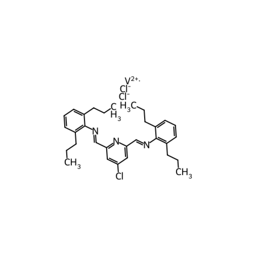 CCCc1cccc(CCC)c1N=Cc1cc(Cl)cc(C=Nc2c(CCC)cccc2CCC)n1.[Cl-].[Cl-].[V+2]